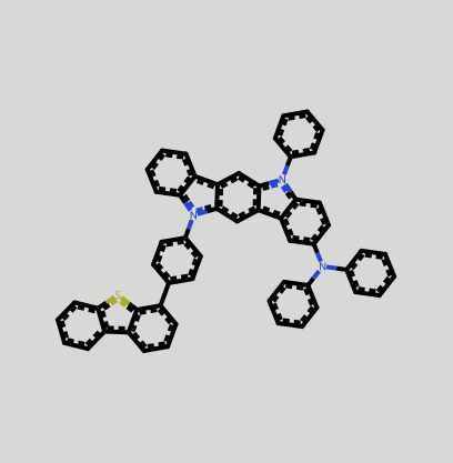 c1ccc(N(c2ccccc2)c2ccc3c(c2)c2cc4c(cc2n3-c2ccccc2)c2ccccc2n4-c2ccc(-c3cccc4c3sc3ccccc34)cc2)cc1